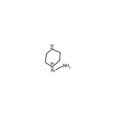 C1CNCCN1.CC(N)=O